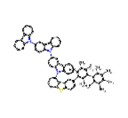 Bc1c(B)c(B)c(-c2c(B)c(B)c(B)c(-c3ccc4sc5cccc(-n6c7ccccc7c7cc(-n8c9ccccc9c9cc(-n%10c%11ccccc%11c%11ccccc%11%10)ccc98)ccc76)c5c4c3)c2B)c(B)c1B